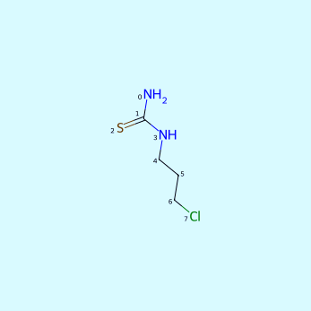 NC(=S)NCCCCl